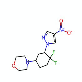 O=[N+]([O-])c1cnn(C2CC(N3CCOCC3)CCC2(F)F)c1